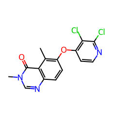 Cc1c(Oc2ccnc(Cl)c2Cl)ccc2ncn(C)c(=O)c12